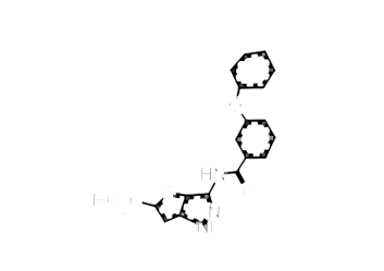 O=C(Nc1n[nH]c2cc(C(=O)O)sc12)c1cccc(Oc2ccccc2)c1